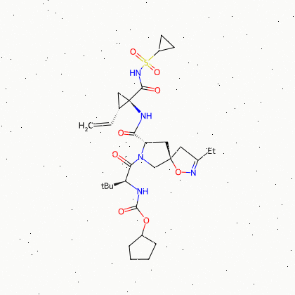 C=C[C@@H]1C[C@]1(NC(=O)[C@@H]1C[C@]2(CC(CC)=NO2)CN1C(=O)[C@@H](NC(=O)OC1CCCC1)C(C)(C)C)C(=O)NS(=O)(=O)C1CC1